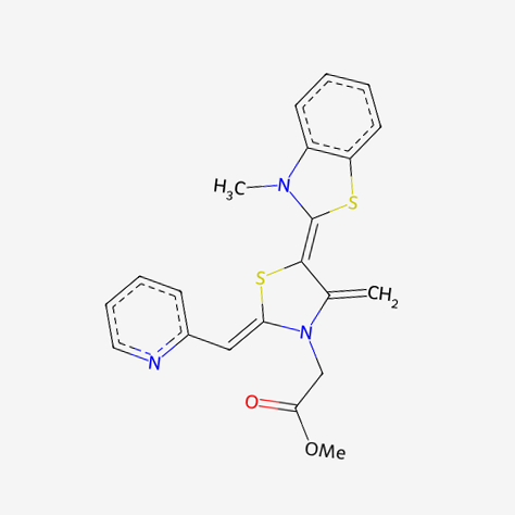 C=C1/C(=C2\Sc3ccccc3N2C)S/C(=C\c2ccccn2)N1CC(=O)OC